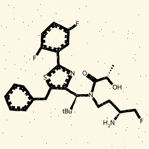 C[C@H](O)C(=O)N(CC[C@H](N)CF)[C@H](c1nc(-c2cc(F)ccc2F)sc1Cc1ccccc1)C(C)(C)C